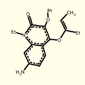 CC=C(CC)Oc1c(OC(C)C)c(=O)n(CC)c2cc(N)ccc12